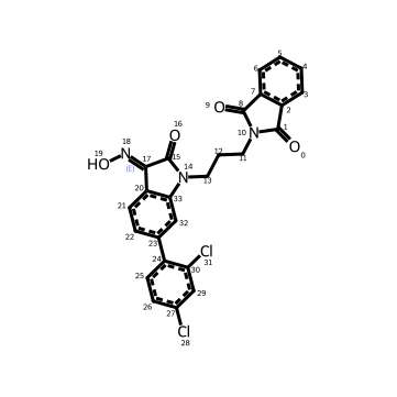 O=C1c2ccccc2C(=O)N1CCCN1C(=O)/C(=N/O)c2ccc(-c3ccc(Cl)cc3Cl)cc21